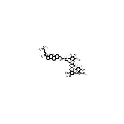 CC(C)CCC[C@@H](C)C1CCC2C3CC=C4CC(OC(=O)NCCSC[C@@H](OCOC5C(O)[C@H](N)CC(N)[C@H]5O[C@H]5OC(CN)[C@@H](O)C(O)C5N)C(CO)O[C@H]5OC(CN)[C@@H](O)C(O)C5N)CC[C@]4(C)C3CC[C@@]21C